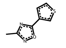 Cc1noc(-c2ccsc2)n1